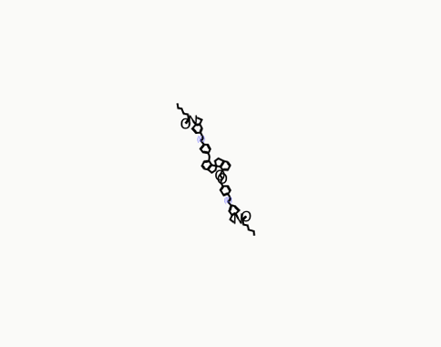 CCCCCC(=O)N1CCc2cc(/C=C/c3ccc(COOc4cccc5c4C4(CCc6cccc(Cc7ccc(/C=C/c8ccc9c(c8)CCN9C(=O)CCCCC)cc7)c64)CC5)cc3)ccc21